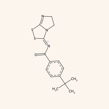 CC(C)(C)c1ccc(C(=O)/N=C2\SSC3=NCCN32)cc1